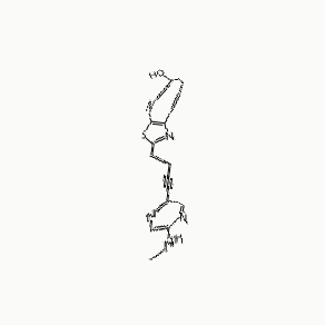 CNc1cnc(C#C/C=C/c2nc3ccc(O)nc3s2)cn1